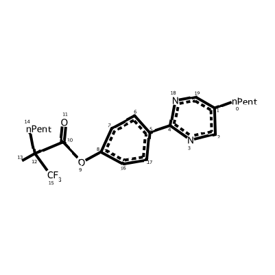 CCCCCc1cnc(-c2ccc(OC(=O)C(C)(CCCCC)C(F)(F)F)cc2)nc1